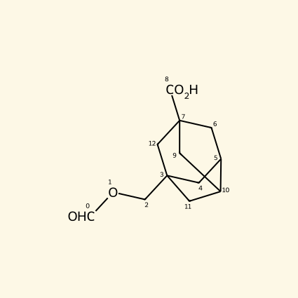 O=COCC12CC3CC(C(=O)O)(CC3C1)C2